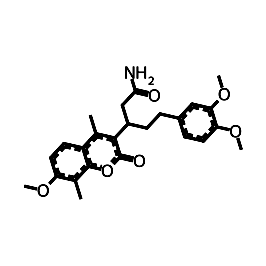 COc1ccc(CCC(CC(N)=O)c2c(C)c3ccc(OC)c(C)c3oc2=O)cc1OC